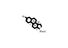 CCC[C@@H](C)[C@H]1CC[C@H]2[C@@H]3CCC4CC(C(C)=O)=CC[C@]4(C)[C@H]3CC[C@]12C